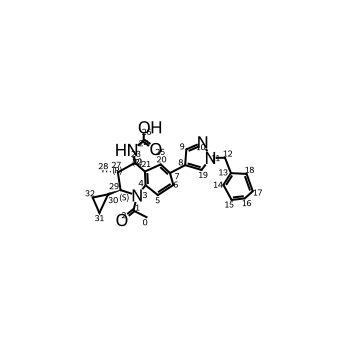 CC(=O)N1c2ccc(-c3cnn(Cc4ccccc4)c3)cc2[C@H](NC(=O)O)[C@@H](C)[C@@H]1C1CC1